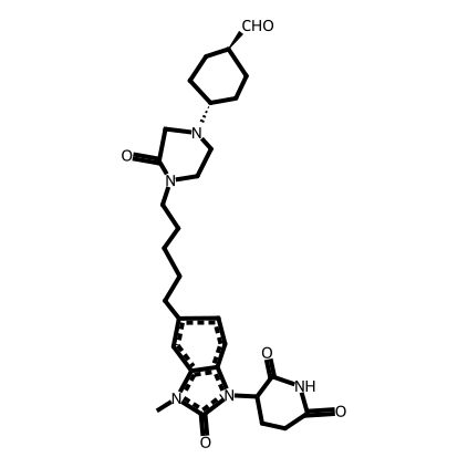 Cn1c(=O)n(C2CCC(=O)NC2=O)c2ccc(CCCCCN3CCN([C@H]4CC[C@H](C=O)CC4)CC3=O)cc21